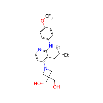 CCC(CC)Cc1c(N2CC(CO)(CO)C2)ccnc1Nc1ccc(OC(F)(F)F)cc1